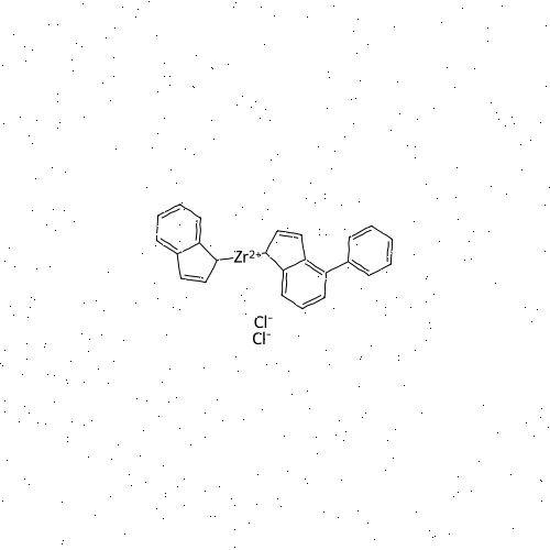 C1=C[CH]([Zr+2][CH]2C=Cc3c(-c4ccccc4)cccc32)c2ccccc21.[Cl-].[Cl-]